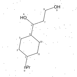 CCCC1CCC(C(O)CCO)CC1